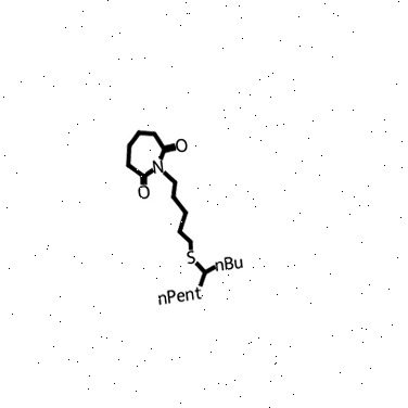 CCCCCC(CCCC)SCCCCCN1C(=O)CCCCC1=O